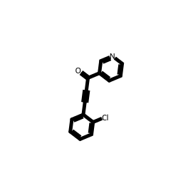 O=C(C#Cc1ccccc1Cl)c1cccnc1